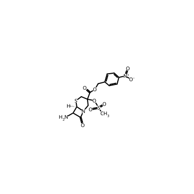 CS(=O)(=O)OC1(C(=O)OCc2ccc([N+](=O)[O-])cc2)CS[C@@H]2C(N)C(=O)N2C1